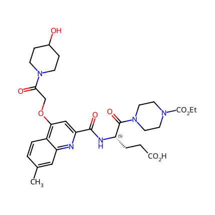 CCOC(=O)N1CCN(C(=O)[C@H](CCC(=O)O)NC(=O)c2cc(OCC(=O)N3CCC(O)CC3)c3ccc(C)cc3n2)CC1